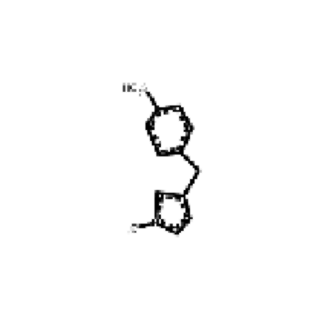 Cn1ccc(Cc2ccc(S(=O)(=O)O)cc2)c1